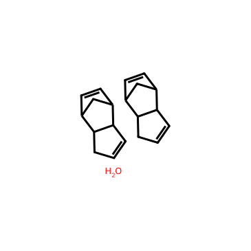 C1=CC2C3C=CC(C3)C2C1.C1=CC2C3C=CC(C3)C2C1.O